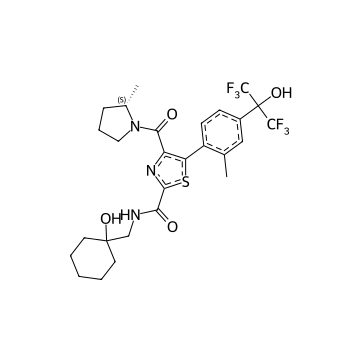 Cc1cc(C(O)(C(F)(F)F)C(F)(F)F)ccc1-c1sc(C(=O)NCC2(O)CCCCC2)nc1C(=O)N1CCC[C@@H]1C